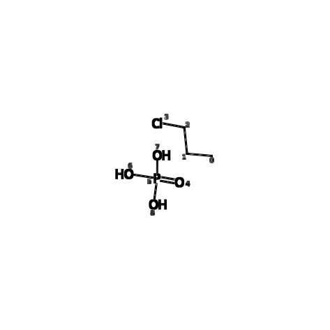 CCCCl.O=P(O)(O)O